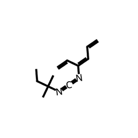 C=C/C=C(\C=C)N=C=NC(C)(C)CC